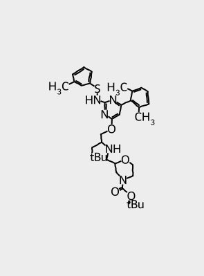 Cc1cccc(SNc2nc(OCC(CC(C)(C)C)NCC3CN(C(=O)OC(C)(C)C)CCO3)cc(-c3c(C)cccc3C)n2)c1